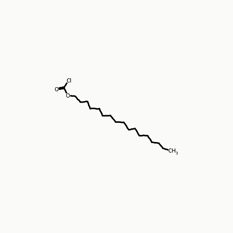 CCCCCCCCCCCCCCCCCOC(=O)Cl